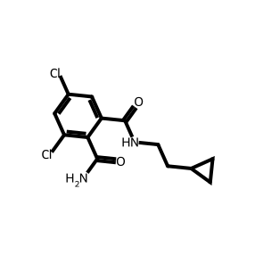 NC(=O)c1c(Cl)cc(Cl)cc1C(=O)NCCC1CC1